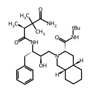 C[C@H](C(=O)N[C@@H](Cc1ccccc1)[C@H](O)CN1C[C@H]2CCCC[C@H]2C[C@H]1C(=O)NC(C)(C)C)C(C)(C)C(N)=O